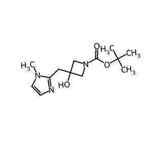 Cn1ccnc1CC1(O)CN(C(=O)OC(C)(C)C)C1